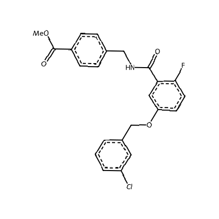 COC(=O)c1ccc(CNC(=O)c2cc(OCc3cccc(Cl)c3)ccc2F)cc1